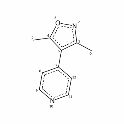 Cc1noc(C)c1-c1ccncc1